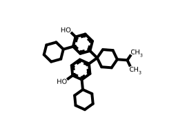 CC(C)C1CCC(c2ccc(O)c(C3CCCCC3)c2)(c2ccc(O)c(C3CCCCC3)c2)CC1